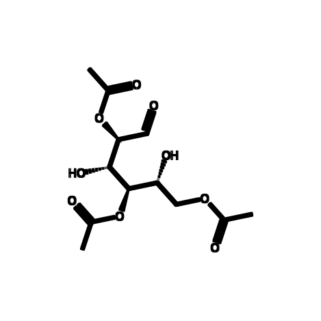 CC(=O)OC[C@@H](O)[C@@H](OC(C)=O)[C@H](O)[C@H](C=O)OC(C)=O